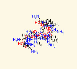 CC[C@H](C)[C@H](NC(=O)CNC(=O)[C@@H](NC(=O)[C@H](CCCCN)NC(=O)[C@@H](NC(=O)[C@@H](N)CCCCN)[C@@H](C)O)[C@@H](C)CC)C(=O)N[C@@H](CC(N)=O)C(=O)NCC(=O)N[C@@H](Cc1ccccc1)C(=O)NCC(=O)N[C@@H](CCCCN)C(=O)N[C@H](C(=O)NCC(=O)N[C@@H](CCCCN)C(=O)N[C@@H](CC(C)C)C(=O)N[C@H](C(=O)N[C@@H](CC(C)C)C(=O)N[C@@H](CCCCN)C(=O)O)C(C)C)[C@@H](C)CC